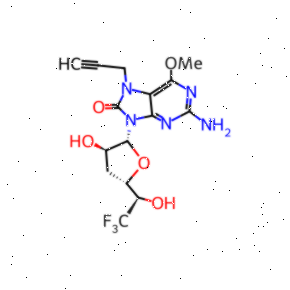 C#CCn1c(=O)n([C@@H]2O[C@H]([C@@H](O)C(F)(F)F)C[C@H]2O)c2nc(N)nc(OC)c21